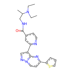 CCN(CC)C(C)CNC(=O)c1ccnc(-c2cnn3ccc(-c4cccs4)nc23)c1